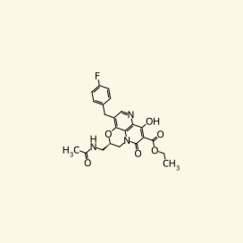 CCOC(=O)c1c(O)c2ncc(Cc3ccc(F)cc3)c3c2n(c1=O)C[C@@H](CNC(C)=O)O3